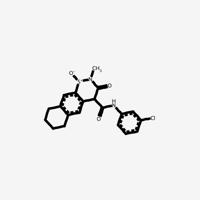 CN1C(=O)C(C(=O)Nc2cccc(Cl)c2)c2cc3c(cc2[S+]1[O-])CCCC3